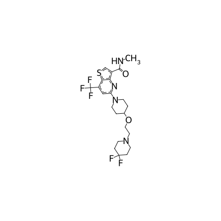 CNC(=O)c1csc2c(C(F)(F)F)cc(N3CCC(OCCN4CCC(F)(F)CC4)CC3)nc12